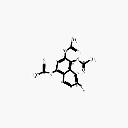 CC(=O)Oc1cc(OC(C)=O)c2ccc(Cl)cc2c1OC(C)=O